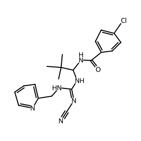 CC(C)(C)C(NC(=O)c1ccc(Cl)cc1)N/C(=N/C#N)NCc1ccccn1